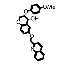 COc1ccc(O[C@H]2COc3ccc(OCc4ccc5ccccc5n4)cc3[C@H]2O)cc1